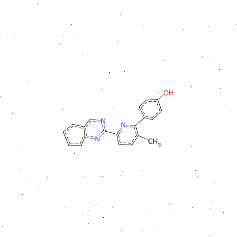 Cc1ccc(-c2ncc3ccccc3n2)nc1-c1ccc(O)cc1